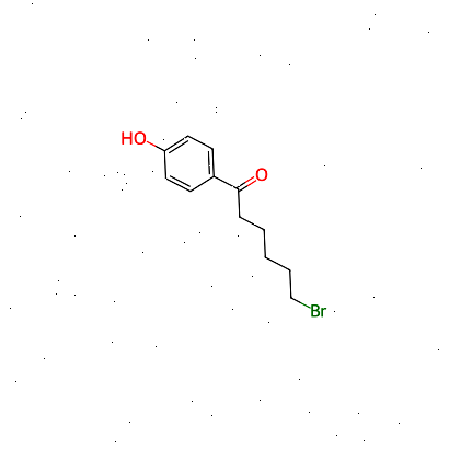 O=C(CCCCCBr)c1ccc(O)cc1